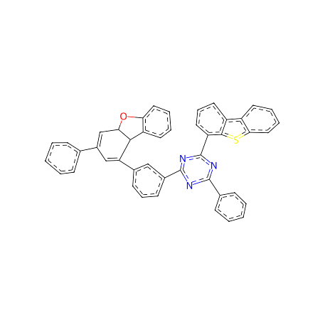 C1=C(c2ccccc2)C=C(c2cccc(-c3nc(-c4ccccc4)nc(-c4cccc5c4sc4ccccc45)n3)c2)C2c3ccccc3OC12